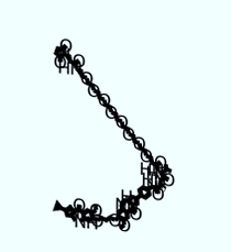 COc1cc2c(cc1OCCCOc1cc3c(cc1OC)C(=O)N1C=C(C4CC4)CC1CN3)N=C[C@@H]1CC(c3ccc(NC(=O)[C@H](C)NC(=O)[C@@H](NC(=O)CCOCCOCCOCCOCCOCCOCCOCCOCCNC(=O)CCN4C(=O)C=CC4=O)C(C)C)cc3)=CN1C2=O